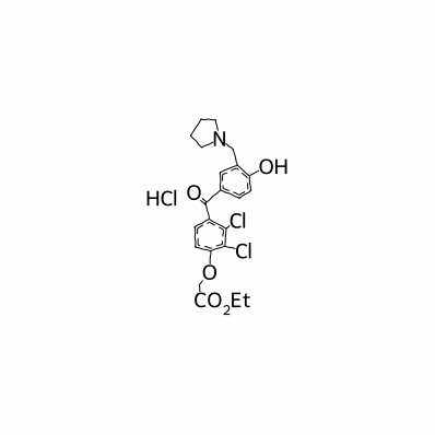 CCOC(=O)COc1ccc(C(=O)c2ccc(O)c(CN3CCCC3)c2)c(Cl)c1Cl.Cl